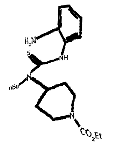 CCCCN(C(=S)Nc1ccccc1N)C1CCN(C(=O)OCC)CC1